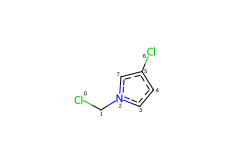 ClCn1ccc(Cl)c1